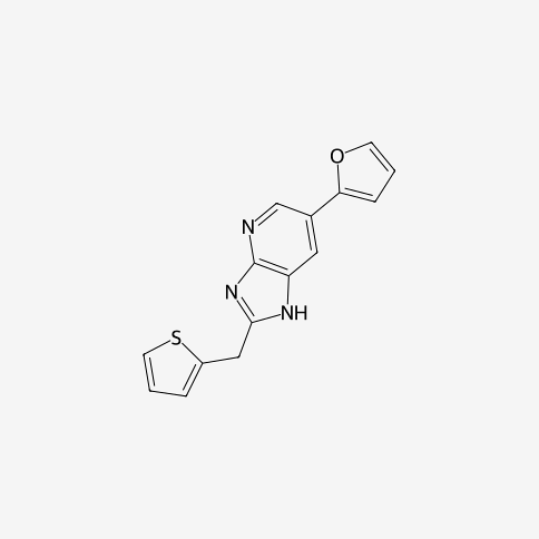 c1coc(-c2cnc3nc(Cc4cccs4)[nH]c3c2)c1